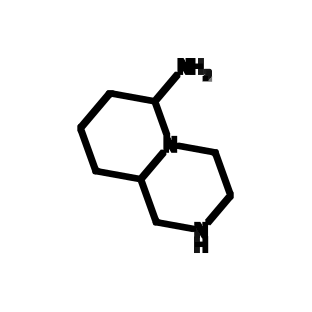 NC1CCCC2CNCCN12